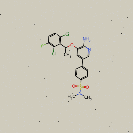 CC(Oc1cc(-c2ccc(S(=O)(=O)N(C)C)cc2)cnc1N)c1c(Cl)ccc(F)c1Cl